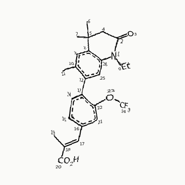 CCN1C(=O)CC(C)(C)c2cc(C)c(-c3ccc(C=C(C)C(=O)O)cc3OC(F)(F)F)cc21